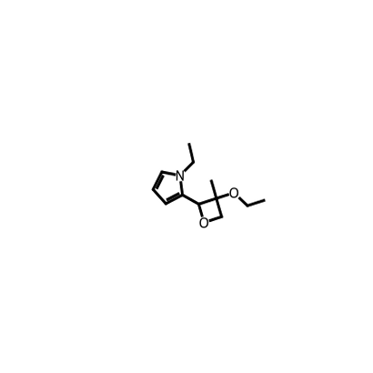 CCOC1(C)COC1c1cccn1CC